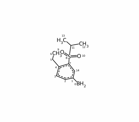 Bc1ccc(CC)c(S(=O)(=O)C(C)C)c1